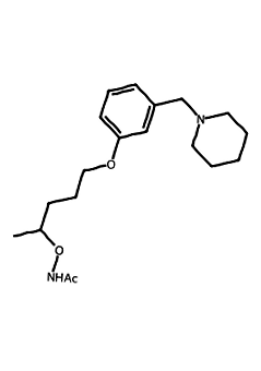 CC(=O)NOC(C)CCCOc1cccc(CN2CCCCC2)c1